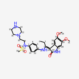 CC/C(Nc1ccc(N(CCN2CCNCC2)S(C)(=O)=O)cc1)=C1/C(=O)Nc2cc(OC)c(OC)cc21